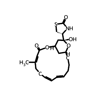 C/C1=C/C(=O)O[C@@H]2C[C@@H](CCC/C=C/C=C\CC1)O[C@@](O)([C@@H]1CSC(=O)N1)C2